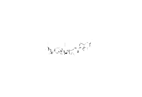 COc1ccc2nc(N3CCC4CN(C(=O)Nc5ccc(C(=O)NO)cn5)CC4C3)ccc2c1